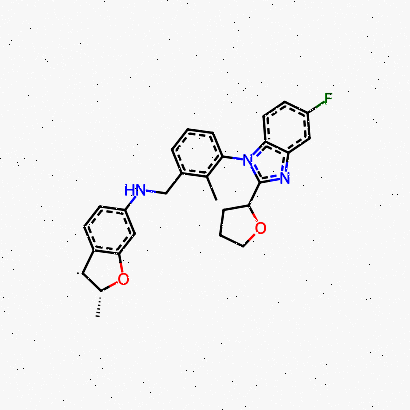 Cc1c(CNc2ccc3c(c2)O[C@H](C)[CH]3)cccc1-n1c(C2CCCO2)nc2cc(F)ccc21